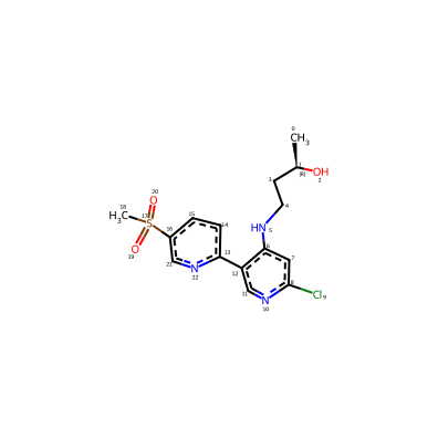 C[C@@H](O)CCNc1cc(Cl)ncc1-c1ccc(S(C)(=O)=O)cn1